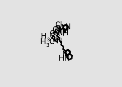 CO[C@H](C)CN(CCCCc1ccc2c(n1)NCCC2)CC[C@H](NC(=O)c1c(F)cncc1Cl)C(=O)O